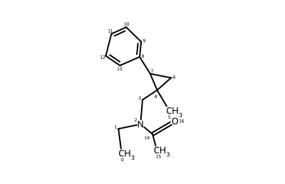 CCN(CC1(C)CC1c1ccccc1)C(C)=O